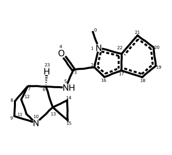 Cn1c(C(=O)N[C@@H]2C3CCN(CC3)C23CC3)cc2ccccc21